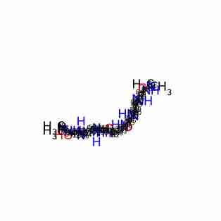 CN(C)CCNC(=O)c1ccc(-c2nc3ccc(-c4ccc5nc(-c6ccc(C(=O)NC7CCC(CC8CCC(NC(=O)c9ccc(-c%10nc%11ccc(-c%12ccc%13nc(-c%14ccc(C(O)NCCN(C)C)cc%14)[nH]c%13c%12)cc%11[nH]%10)cc9)CC8)CC7)cc6)[nH]c5c4)cc3[nH]2)cc1